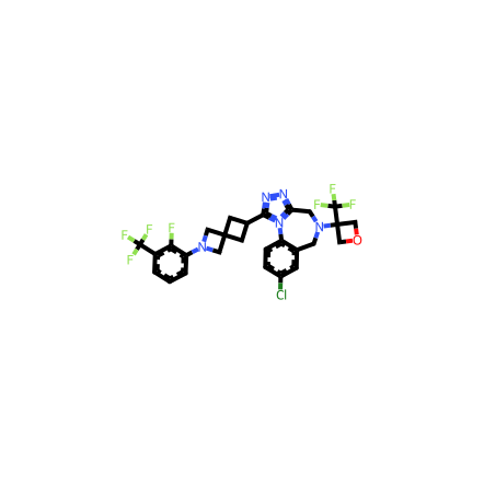 Fc1c(N2CC3(CC(c4nnc5n4-c4ccc(Cl)cc4CN(C4(C(F)(F)F)COC4)C5)C3)C2)cccc1C(F)(F)F